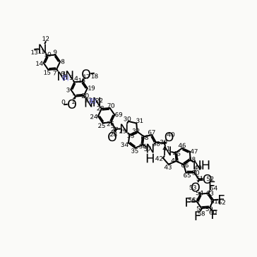 COc1cc(/N=N/c2ccc(N(C)C)cc2)c(OC)cc1/N=N/c1ccc(C(=O)N2CCc3c2ccc2[nH]c(C(=O)N4CCc5c4ccc4[nH]c(C(=O)Oc6c(F)c(F)c(F)c(F)c6F)cc54)cc32)cc1